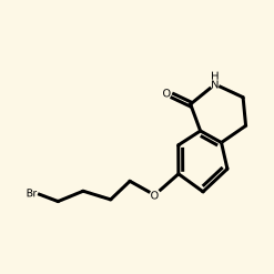 O=C1NCCc2ccc(OCCCCBr)cc21